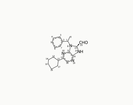 CC(c1ccccc1)N1c2nc(C3CCCCC3)cnc2N[C@@H]1C=O